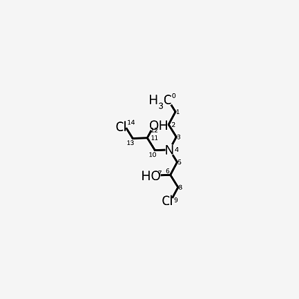 CCCCN(CC(O)CCl)CC(O)CCl